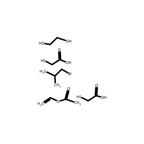 C=COC(C)=O.CC(C)CBr.O=C(O)CS.O=C(O)CS.OCCO